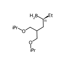 B[C@@H](CC)CC(COC(C)C)COC(C)C